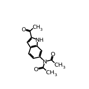 CC(=O)c1cc2ccc(N(C(C)=O)C(C)=O)cc2[nH]1